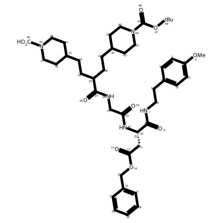 COc1ccc(CCNC(=O)[C@H](CC(=O)OCc2ccccc2)NC(=O)CNC(=O)C(CCC2CCN(C(=O)O)CC2)CCC2CCN(C(=O)OC(C)(C)C)CC2)cc1